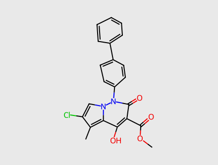 COC(=O)c1c(O)c2c(C)c(Cl)cn2n(-c2ccc(-c3ccccc3)cc2)c1=O